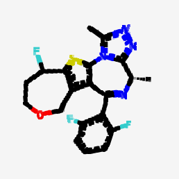 Cc1nnc2n1-c1sc3c(c1C(c1c(F)cccc1F)=N[C@H]2C)COCCC3F